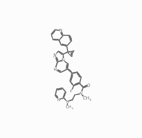 CN(CCN(C)c1ccccn1)C(=O)c1ccc(-c2cnc3ncc(C4(c5ccc6ncccc6c5)C=C4)n3c2)cc1F